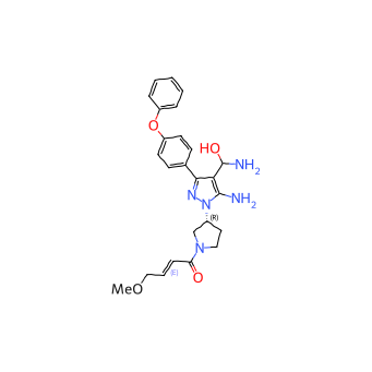 COC/C=C/C(=O)N1CC[C@@H](n2nc(-c3ccc(Oc4ccccc4)cc3)c(C(N)O)c2N)C1